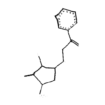 COC1CC(CCC(=O)c2ccccc2)C(Cl)C1Cl